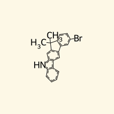 CC1(C)c2ccc(Br)cc2-c2cc3c(cc21)[nH]c1ccccc13